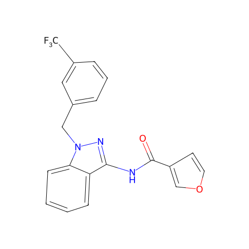 O=C(Nc1nn(Cc2cccc(C(F)(F)F)c2)c2ccccc12)c1ccoc1